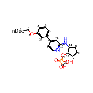 CCCCCCCCCCCOc1cccc(-c2ccnc(N[C@H]3CCC[C@H]3OP(=O)(O)O)c2)c1